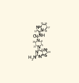 Nc1nc(N2CCN(C(=O)Nc3cnc4ccccn34)CC2)c2ncsc2n1